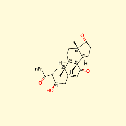 CCCC(=O)C1C[C@@]2(C)C(=CC(=O)[C@@H]3[C@@H]2CC[C@]2(C)C(=O)CC[C@@H]32)C[C@H]1O